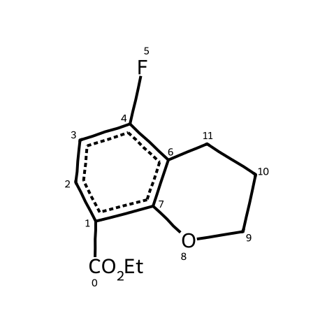 CCOC(=O)c1ccc(F)c2c1OCCC2